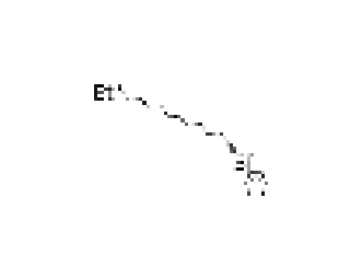 CCSCCCCCCCCCCC#C[Si](C)(C)C1CC2CCC1C2